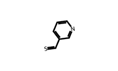 S=Cc1cccnc1